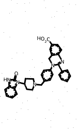 O=C(O)c1ccc2c(c1)CN(c1ccc(CN3CCC(n4c(=O)[nH]c5ccccc54)CC3)cc1)C(c1ccccc1)=N2